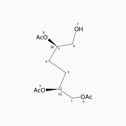 CC(=O)OC[C@H](CC[C@H](CO)OC(C)=O)OC(C)=O